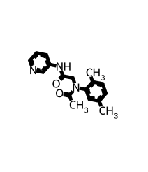 CC(=O)N(CC(=O)Nc1cccnc1)c1cc(C)ccc1C